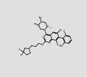 CC(=O)N1C[C@H](C)N(c2nc(OCCCN3CCC(F)(F)C3)nc3c(F)c(-c4c(O)cccc4F)c(Cl)cc23)C[C@H]1C